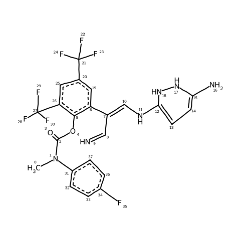 CN(C(=O)Oc1c(/C(C=N)=C/NC2=CC=C(N)NN2)cc(C(F)(F)F)cc1C(F)(F)F)c1ccc(F)cc1